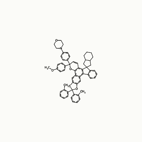 COc1ccc(C2(c3ccc(N4CCOCC4)cc3)C=Cc3c4c(c5cc6c(cc5c3O2)SC(c2ccccc2C)(c2ccccc2C)O6)-c2ccccc2C42CC3CCCCC3C2)cc1